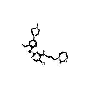 CCc1cc(N2CCN(C)CC2)ccc1Nc1ncc(Cl)c(NCCCN2C=CC=COC2=O)n1